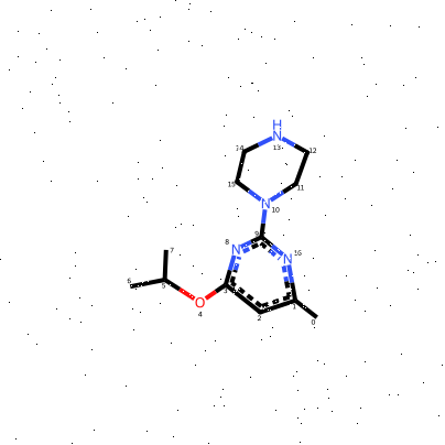 Cc1cc(OC(C)C)nc(N2CCNCC2)n1